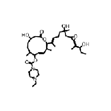 CCC(O)C(C)=C1OC1CC(C)(O)CC/C=C(\C)C1OC(=O)CC(O)CCC(C)C(OC(=O)N2CCN(CC)CC2)/C=C/C1C